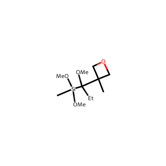 CCC(OC)(C1(C)COC1)[Si](C)(OC)OC